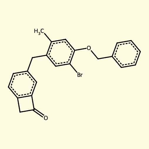 Cc1cc(OCc2ccccc2)c(Br)cc1Cc1ccc2c(c1)C(=O)C2